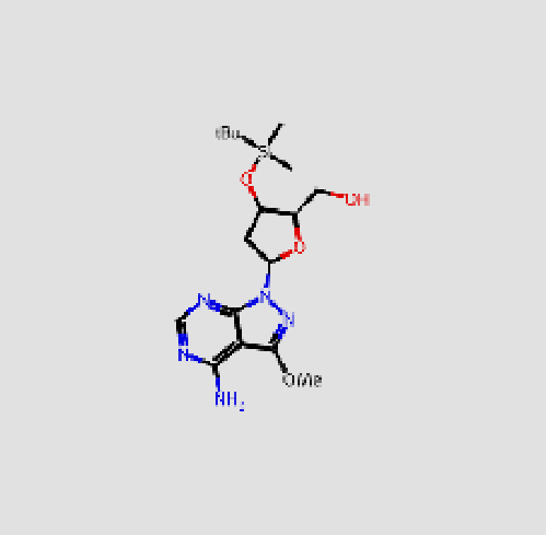 COc1nn([C@H]2CC(O[Si](C)(C)C(C)(C)C)[C@@H](CO)O2)c2ncnc(N)c12